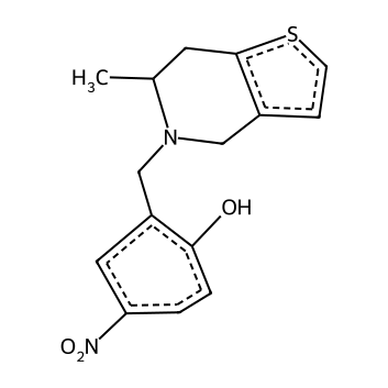 CC1Cc2sccc2CN1Cc1cc([N+](=O)[O-])ccc1O